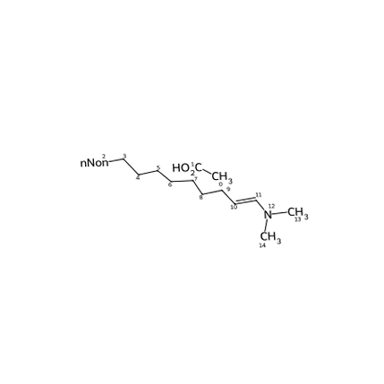 CC(=O)O.CCCCCCCCCCCCCCCCC=CN(C)C